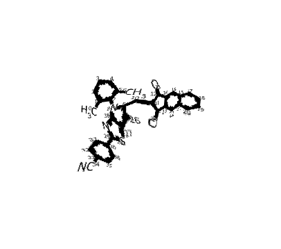 Cc1cccc(C)c1-n1c(C=C2C(=O)c3cc4ccccc4cc3C2=O)cc2sc(-c3ccc(C#N)cc3)nc21